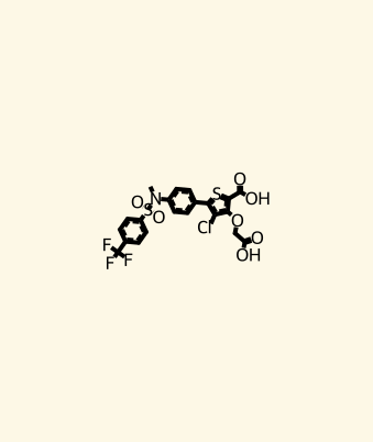 CN(c1ccc(-c2sc(C(=O)O)c(OCC(=O)O)c2Cl)cc1)S(=O)(=O)c1ccc(C(F)(F)F)cc1